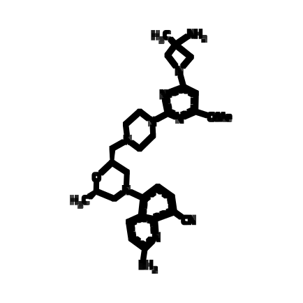 Bc1ccc2c(N3C[C@H](CN4CCN(c5nc(OC)cc(N6CC(C)(N)C6)n5)CC4)O[C@H](C)C3)ccc(C#N)c2n1